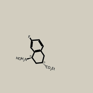 CCOC(=O)[C@H]1Cc2ccc(F)cc2[C@H](N)C1.Cl